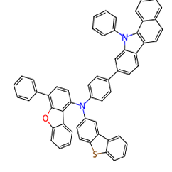 c1ccc(-c2ccc(N(c3ccc(-c4ccc5c6ccc7ccccc7c6n(-c6ccccc6)c5c4)cc3)c3ccc4sc5ccccc5c4c3)c3c2oc2ccccc23)cc1